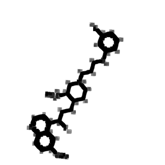 COc1ccc2nccc(C(F)CC[C@@H]3CCN(CCCSc4cccc(F)c4)C[C@@H]3C(=O)O)c2c1